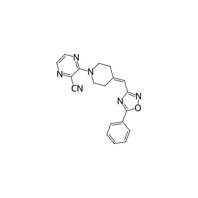 N#Cc1nccnc1N1CCC(=Cc2noc(-c3ccccc3)n2)CC1